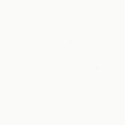 CCOC[C@H]1[C@@H](CC(OC)OC)C1(C)C